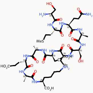 CSCC[C@H](NC(=O)[C@@H](N)CO)C(=O)N[C@@H](CCC(N)=O)C(=O)N[C@@H](C)C(=O)N[C@@H](CO)C(=O)N[C@@H](CC(C)C)C(=O)N[C@@H](CCC(=O)O)C(=O)N[C@@H](C)C(=O)N[C@@H](CCC(=O)O)C(=O)N[C@@H](C)C(=O)N[C@@H](CCCCN)C(=O)O